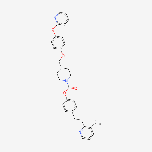 Cc1cccnc1CCc1ccc(OC(=O)N2CCC(COc3ccc(Oc4ccccn4)cc3)CC2)cc1